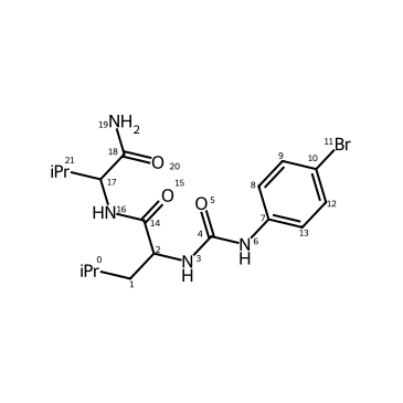 CC(C)CC(NC(=O)Nc1ccc(Br)cc1)C(=O)NC(C(N)=O)C(C)C